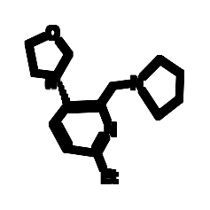 CCc1ccc([C@@H]2CCOC2)c(CN2CCCC2)n1